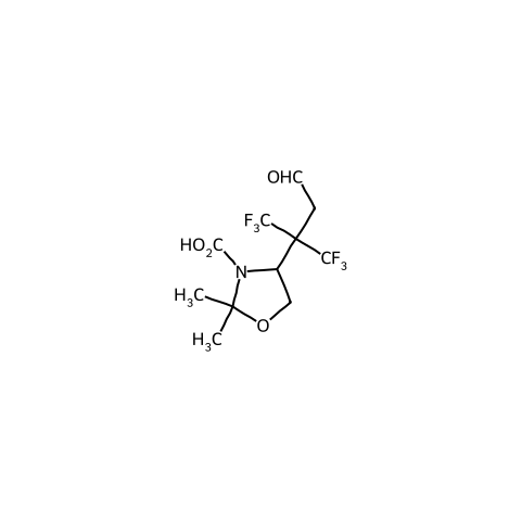 CC1(C)OCC(C(CC=O)(C(F)(F)F)C(F)(F)F)N1C(=O)O